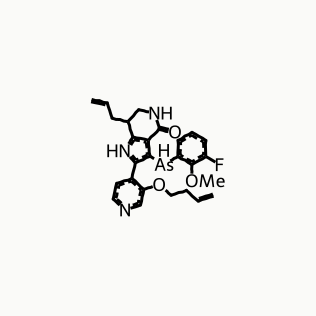 C=CCCOc1cnccc1-c1[nH]c2c(c1[AsH]c1cccc(F)c1OC)C(=O)NCC2CC=C